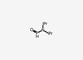 CC(C)N([PH]=O)C(C)C